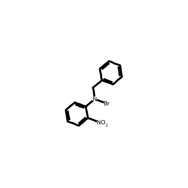 O=[N+]([O-])c1ccccc1N(Br)Cc1ccccc1